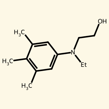 CCN(CCO)c1cc(C)c(C)c(C)c1